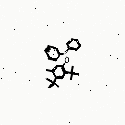 Cc1cc(OP(c2ccccc2)c2ccccc2)c(C(C)(C)C)cc1C(C)(C)C